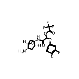 N[C@H]1C[C@H]2O[C@@H]1C[C@@H]2NC(=O)C(OC(=O)C(F)(F)F)Oc1ccc(Cl)c(F)c1